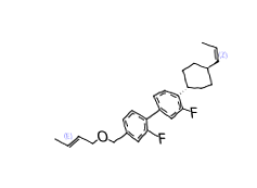 C/C=C\[C@H]1CC[C@H](c2ccc(-c3ccc(COC/C=C/C)cc3F)cc2F)CC1